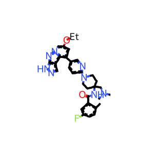 CCOc1cc(-c2ccc(N3CCC(CN(C)C)(NC(=O)c4cc(F)ccc4C)CC3)nc2)c2c3cn[nH]c3nn2c1